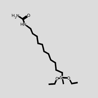 CCO[Si](C)(CCCCCCCCCCCNC(N)=O)OCC